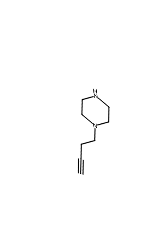 C#CCCN1CCNCC1